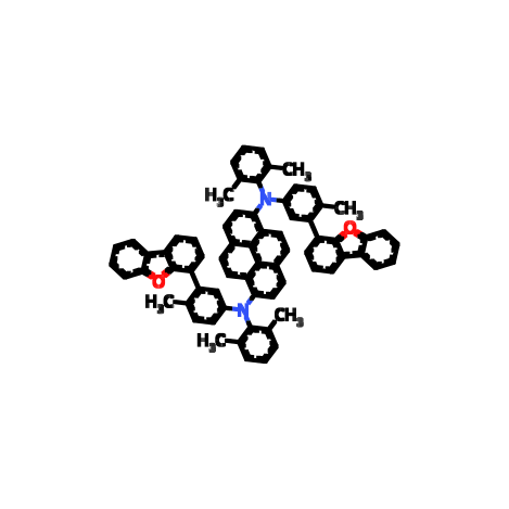 Cc1ccc(N(c2c(C)cccc2C)c2ccc3ccc4c(N(c5ccc(C)c(-c6cccc7c6oc6ccccc67)c5)c5c(C)cccc5C)ccc5ccc2c3c54)cc1-c1cccc2c1oc1ccccc12